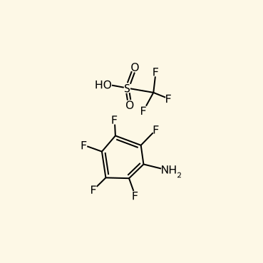 Nc1c(F)c(F)c(F)c(F)c1F.O=S(=O)(O)C(F)(F)F